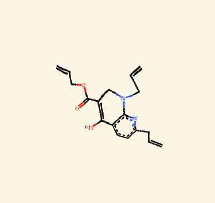 C=CCOC(=O)C1=C(O)c2ccc(CC=C)nc2N(CC=C)C1